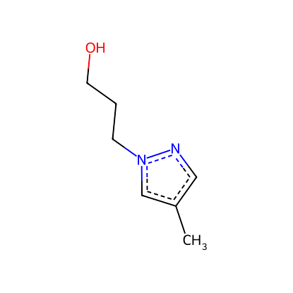 Cc1cnn(CCCO)c1